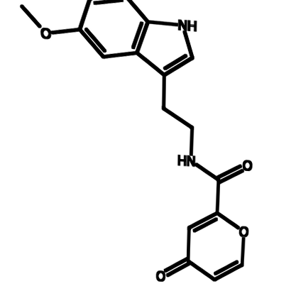 COc1ccc2[nH]cc(CCNC(=O)c3cc(=O)cco3)c2c1